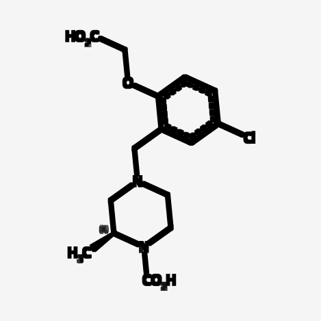 C[C@H]1CN(Cc2cc(Cl)ccc2OCC(=O)O)CCN1C(=O)O